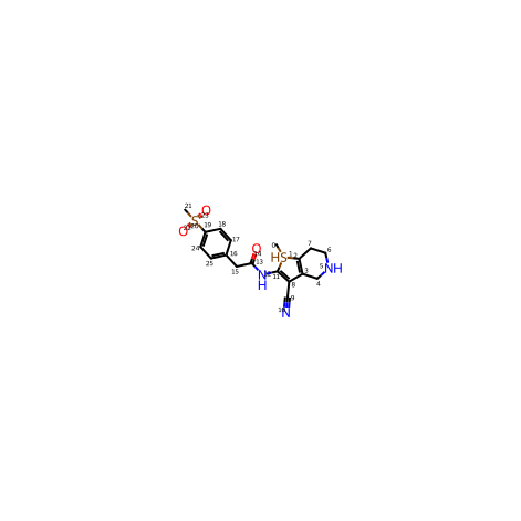 C[SH]1C2=C(CNCC2)C(C#N)=C1NC(=O)Cc1ccc(S(C)(=O)=O)cc1